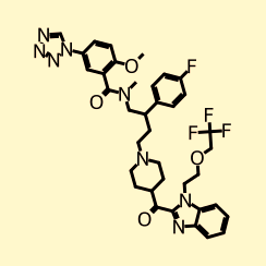 COc1ccc(-n2cnnn2)cc1C(=O)N(C)CC(CCN1CCC(C(=O)c2nc3ccccc3n2CCOCC(F)(F)F)CC1)c1ccc(F)cc1